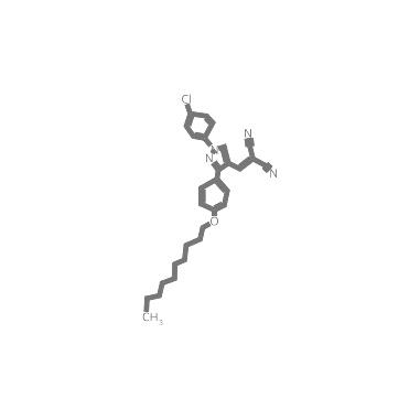 CCCCCCCCCCOc1ccc(-c2nn(-c3ccc(Cl)cc3)cc2C=C(C#N)C#N)cc1